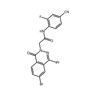 CC(C)c1nn(CC(=O)Nc2ccc(C#N)cc2F)c(=O)c2ccc(Br)cc12